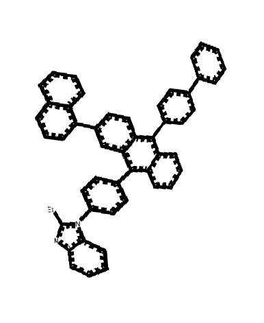 CCc1nc2ccccc2n1-c1ccc(-c2c3ccccc3c(-c3ccc(-c4ccccc4)cc3)c3ccc(-c4cccc5ccccc45)cc23)cc1